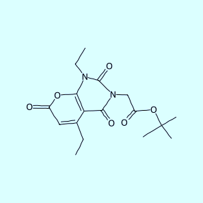 CCc1cc(=O)oc2c1c(=O)n(CC(=O)OC(C)(C)C)c(=O)n2CC